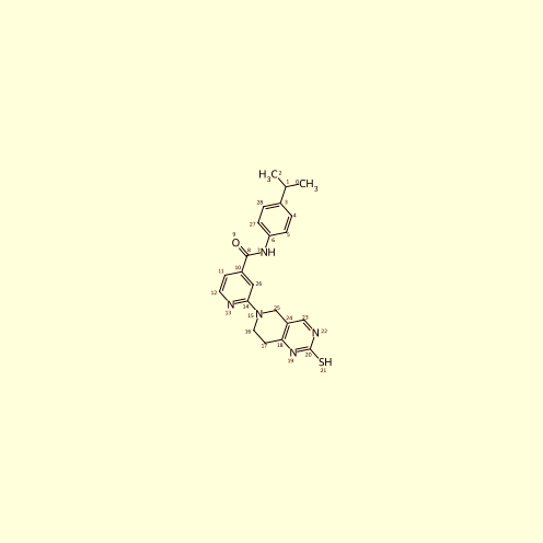 CC(C)c1ccc(NC(=O)c2ccnc(N3CCc4nc(S)ncc4C3)c2)cc1